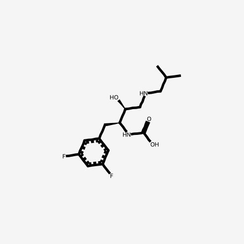 CC(C)CNC[C@H](O)[C@H](Cc1cc(F)cc(F)c1)NC(=O)O